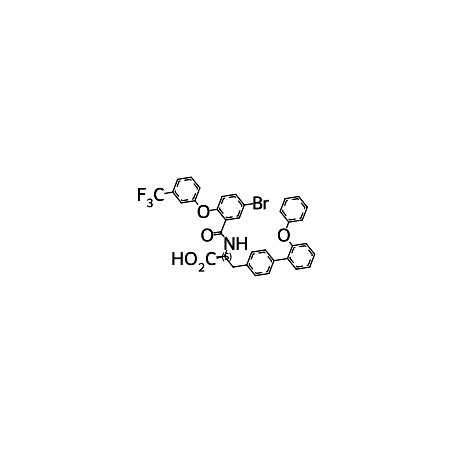 O=C(N[C@@H](Cc1ccc(-c2ccccc2Oc2ccccc2)cc1)C(=O)O)c1cc(Br)ccc1Oc1cccc(C(F)(F)F)c1